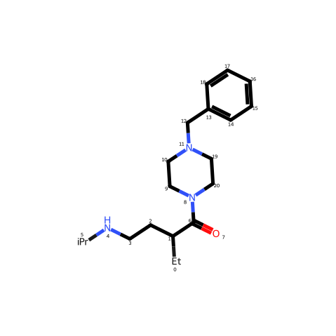 CCC(CCNC(C)C)C(=O)N1CCN(Cc2ccccc2)CC1